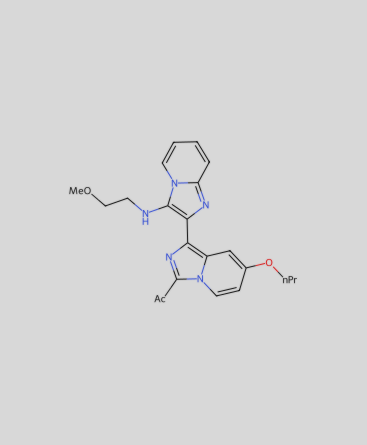 CCCOc1ccn2c(C(C)=O)nc(-c3nc4ccccn4c3NCCOC)c2c1